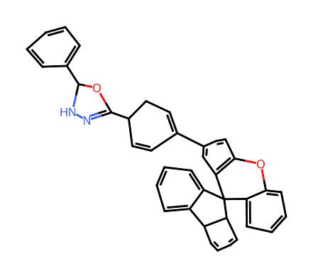 C1=CC2c3ccccc3C3(c4ccccc4Oc4ccc(C5=CCC(C6=NNC(c7ccccc7)O6)C=C5)cc43)C2C=C1